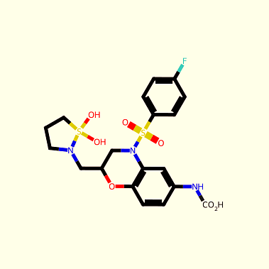 O=C(O)Nc1ccc2c(c1)N(S(=O)(=O)c1ccc(F)cc1)CC(CN1CCCS1(O)O)O2